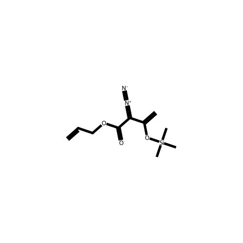 C=CCOC(=O)C(=[N+]=[N-])C(=C)O[Si](C)(C)C